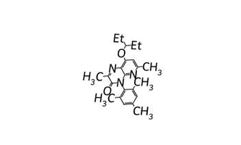 CCC(CC)Oc1cc(C)nc2c1nc(C)c(=O)n2-c1c(C)cc(C)cc1C